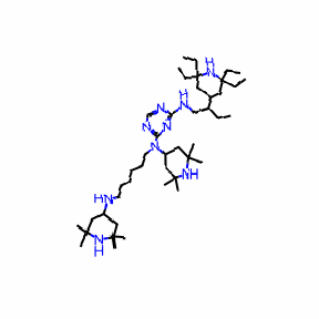 CCC(CNc1ncnc(N(CCCCCCNC2CC(C)(C)NC(C)(C)C2)C2CC(C)(C)NC(C)(C)C2)n1)C1CC(CC)(CC)NC(CC)(CC)C1